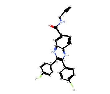 C#CCNC(=O)c1ccc2nc(-c3ccc(F)cc3)c(-c3ccc(F)cc3)nc2c1